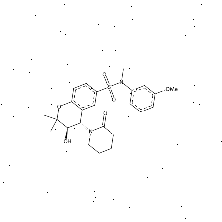 COc1cccc(N(C)S(=O)(=O)c2ccc3c(c2)[C@H](N2CCCCC2=O)[C@@H](O)C(C)(C)O3)c1